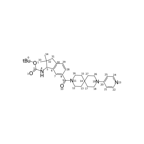 CC(C)(C)OC(=O)NC1c2cc(C(=O)N3CCC4(CC3)CCN(c3ccncc3)CC4)ccc2CC1(C)C